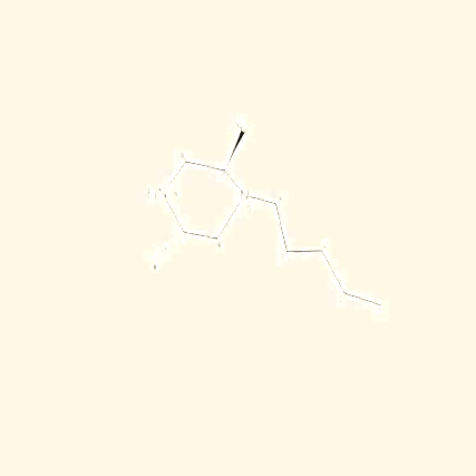 CCCCCN1C[C@H](C)NC[C@H]1C